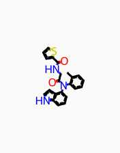 Cc1ccccc1N(C(=O)CNC(=O)c1cccs1)c1cccc2[nH]ccc12